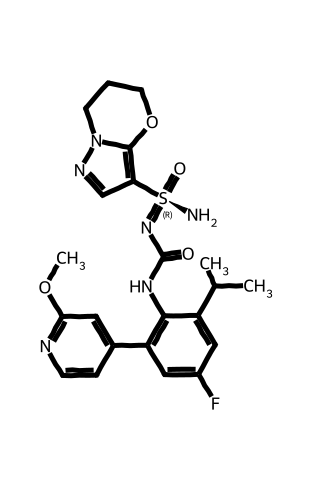 COc1cc(-c2cc(F)cc(C(C)C)c2NC(=O)N=[S@@](N)(=O)c2cnn3c2OCCC3)ccn1